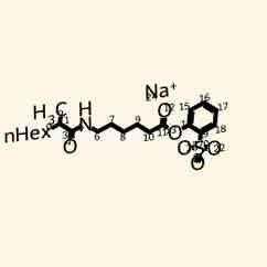 CCCCCCC(C)C(=O)NCCCCCC(=O)Oc1ccccc1S(=O)(=O)[O-].[Na+]